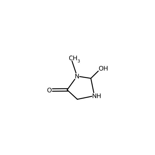 CN1C(=O)CNC1O